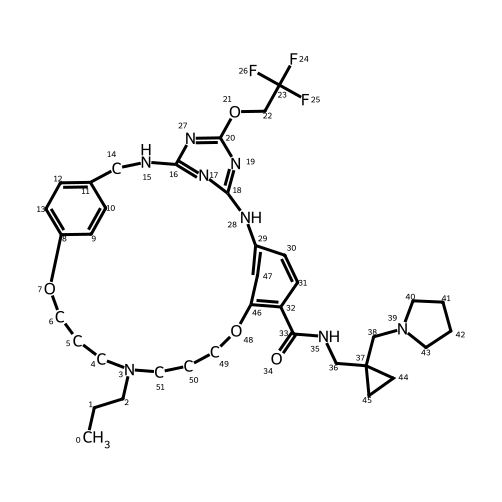 CCCN1CCCOc2ccc(cc2)CNc2nc(nc(OCC(F)(F)F)n2)Nc2ccc(C(=O)NCC3(CN4CCCC4)CC3)c(c2)OCCC1